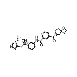 C[C@H](Cc1nncn1C)c1cccc(NC(=O)c2cc(C(=O)N3CCC4(CCO4)C3)ccn2)c1